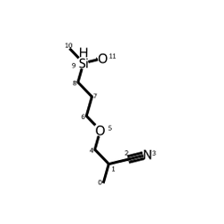 CC(C#N)COCCC[SiH](C)[O]